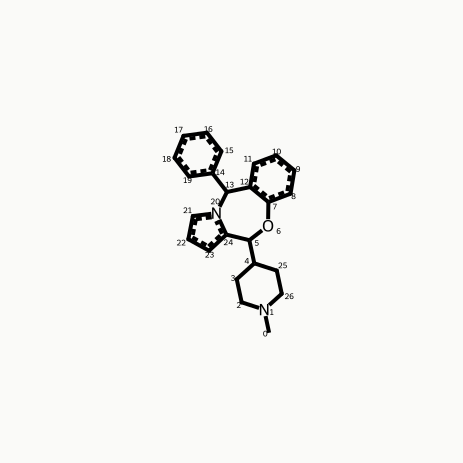 CN1CCC(C2Oc3ccccc3C(c3ccccc3)n3cccc32)CC1